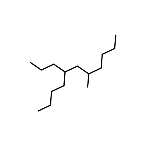 CCCCC(C)CC(CCC)CCCC